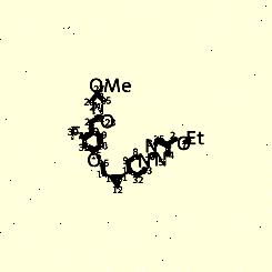 CCOCc1cnc(N2CCC([C@H]3C[C@H]3CCOc3ccc(CC(=O)N4CC(OC)C4)c(F)c3)CC2)nc1